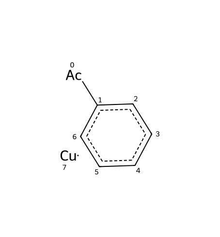 CC(=O)c1ccccc1.[Cu]